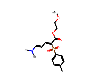 CCCCOCCOC(=O)/C(=C/C=C/N(CC)CC)S(=O)(=O)c1ccc(C)cc1